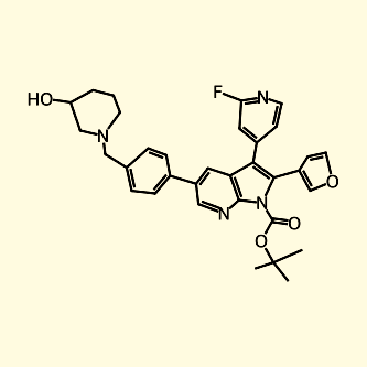 CC(C)(C)OC(=O)n1c(-c2ccoc2)c(-c2ccnc(F)c2)c2cc(-c3ccc(CN4CCCC(O)C4)cc3)cnc21